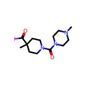 CN1CCN(C(=O)N2CCC(C)(C(=O)I)CC2)CC1